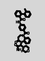 Cc1ccccc1-c1ccccc1C(=O)Nc1ccc(C(=O)N2CCC(=O)N(C(C(N)=O)N3CCOCC3)c3ccccc32)cc1